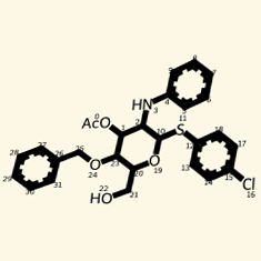 CC(=O)OC1C(Nc2ccccc2)C(Sc2ccc(Cl)cc2)OC(CO)C1OCc1ccccc1